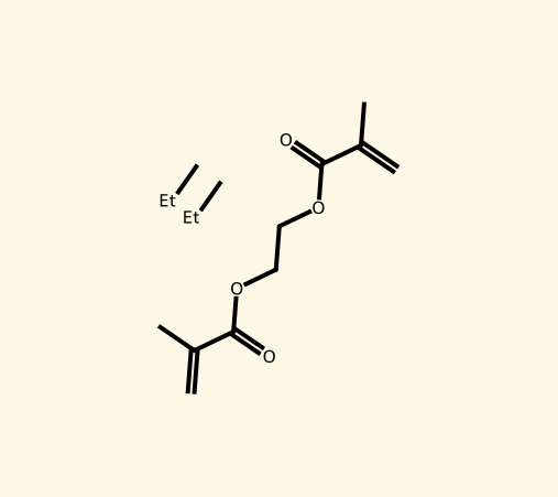 C=C(C)C(=O)OCCOC(=O)C(=C)C.CCC.CCC